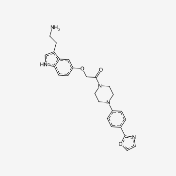 NCCc1c[nH]c2ccc(OCC(=O)N3CCN(c4ccc(-c5ncco5)cc4)CC3)cc12